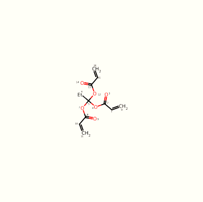 C=CC(=O)OC(CC)(OC(=O)C=C)OC(=O)C=C